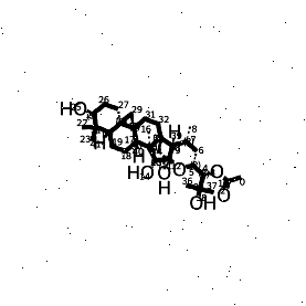 CC(=O)O[C@H]([C@H]1C[C@@H](C)[C@H]2[C@@](O)(O1)[C@H](O)[C@@]1(C)[C@@H]3CC[C@H]4C(C)(C)[C@@H](O)CC[C@@]45C[C@@]35CC[C@]21C)C(C)(C)O